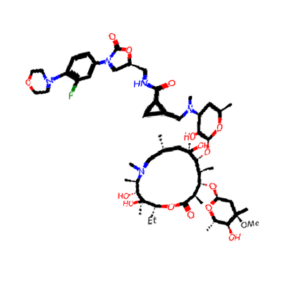 CC[C@H]1OC(=O)[C@H](C)[C@@H](O[C@H]2C[C@@](C)(OC)[C@@H](O)[C@H](C)O2)[C@H](C)[C@@H](O[C@@H]2O[C@H](C)C[C@H](N(C)CC3CC3C(=O)NC[C@H]3CN(c4ccc(N5CCOCC5)c(F)c4)C(=O)O3)[C@H]2O)[C@](C)(O)C[C@@H](C)CN(C)[C@H](C)[C@@H](O)[C@]1(C)O